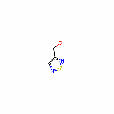 OCc1cnsn1